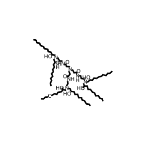 CCCCCCCCCCC(O)CN(CCCNC(=O)CCN(CCC(=O)NCCCN(CC(O)CCCCCCCCCC)CC(O)CCCCCCCCCC)CCC(=O)NCCCN(CC(O)CCCCCCCCCC)CC(O)CCCCCCCCCC)CC(O)CCCCCCCCCC